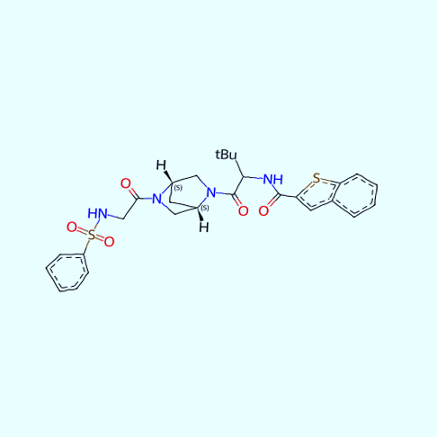 CC(C)(C)C(NC(=O)c1cc2ccccc2s1)C(=O)N1C[C@@H]2C[C@H]1CN2C(=O)CNS(=O)(=O)c1ccccc1